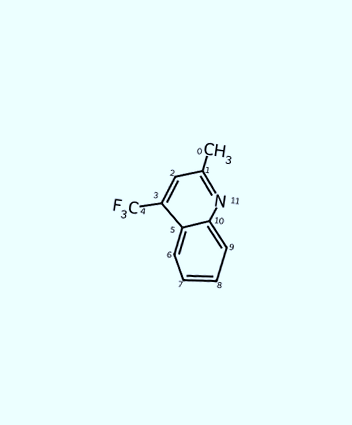 Cc1cc(C(F)(F)F)c2ccccc2n1